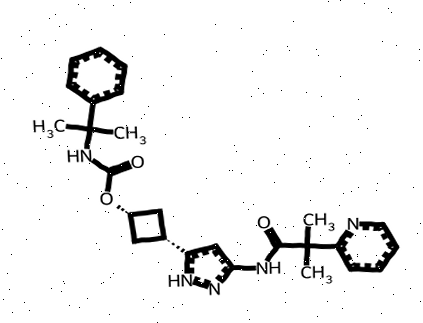 CC(C)(NC(=O)O[C@H]1C[C@@H](c2cc(NC(=O)C(C)(C)c3ccccn3)n[nH]2)C1)c1ccccc1